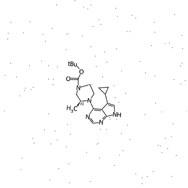 C[C@H]1CN(C(=O)OC(C)(C)C)CCN1c1ncnc2[nH]cc(C3CC3)c12